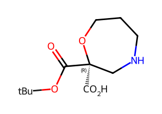 CC(C)(C)OC(=O)[C@]1(C(=O)O)CNCCCO1